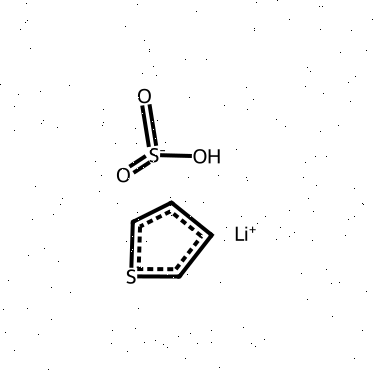 O=[S-](=O)O.[Li+].c1ccsc1